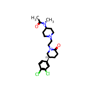 CC(=O)N(C)C1CCN(CCN2C[C@H](c3ccc(Cl)c(Cl)c3)CCC2=O)CC1